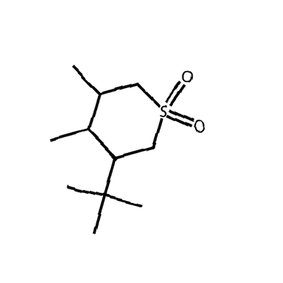 CC1CS(=O)(=O)CC(C(C)(C)C)C1C